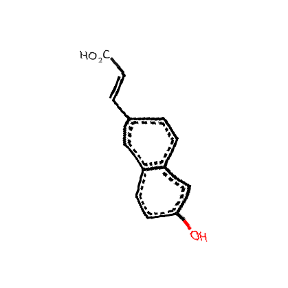 O=C(O)C=Cc1ccc2cc(O)ccc2c1